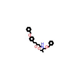 CC(C)C(COCc1ccccc1)NC(=O)CC(=O)CCc1ccc(OCc2ccccc2)cc1